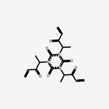 C=CC(=O)C(C)n1c(=O)n(C(C)C(=O)C=C)c(=O)n(C(C)C(=O)C=C)c1=O